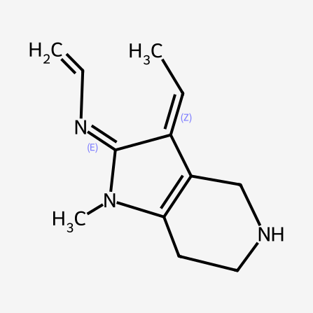 C=C/N=C1\C(=C/C)C2=C(CCNC2)N1C